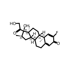 C[C@@H]1C[C@H]2[C@@H]3CCC4=CC(=O)C(F)=C[C@]4(C)[C@H]3CC[C@]2(C)[C@@]1(O)C(=O)CO